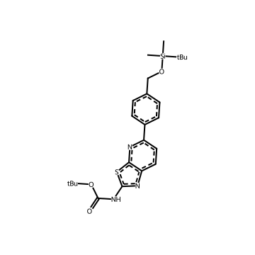 CC(C)(C)OC(=O)Nc1nc2ccc(-c3ccc(CO[Si](C)(C)C(C)(C)C)cc3)nc2s1